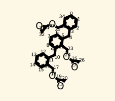 c1ccc(Cc2cccc(Cc3ccccc3COC3CO3)c2COC2CO2)c(COC2CO2)c1